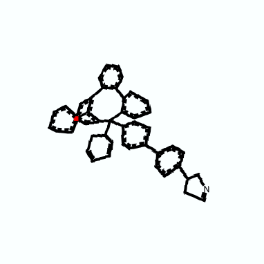 C1=CCC(C2(c3ccc(-c4ccc(C5CC=NC5)cc4)cc3)c3ccccc3-c3ccccc3-c3cccc2c3-c2ccccc2)C=C1